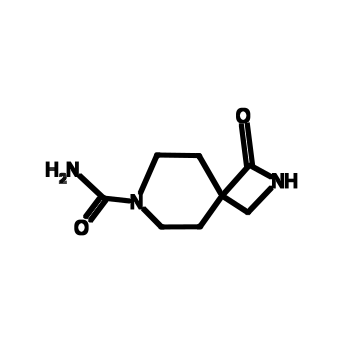 NC(=O)N1CCC2(CC1)CNC2=O